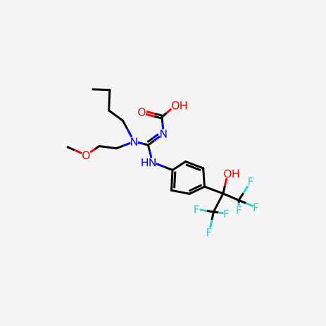 CCCCN(CCOC)C(=NC(=O)O)Nc1ccc(C(O)(C(F)(F)F)C(F)(F)F)cc1